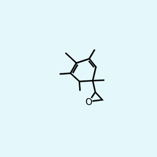 CC1=CC(C)(C2CO2)C(C)C(C)=C1C